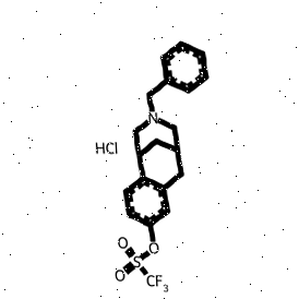 Cl.O=S(=O)(Oc1ccc2c(c1)CC1CC2CN(Cc2ccccc2)C1)C(F)(F)F